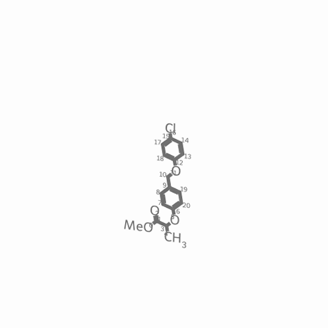 COC(=O)C(C)Oc1ccc(COc2ccc(Cl)cc2)cc1